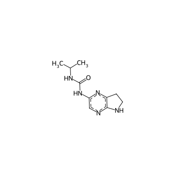 CC(C)NC(=O)Nc1cnc2c(n1)CCN2